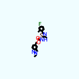 CCn1cc2cc(COC(=O)Nc3sc(-c4ccc(F)cc4C)nc3C)ccc2n1